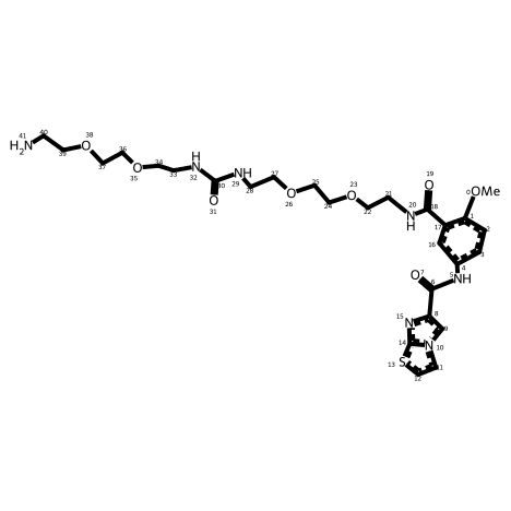 COc1ccc(NC(=O)c2cn3ccsc3n2)cc1C(=O)NCCOCCOCCNC(=O)NCCOCCOCCN